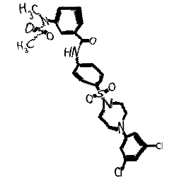 CN(c1cccc(C(=O)Nc2ccc(S(=O)(=O)N3CCN(c4cc(Cl)cc(Cl)c4)CC3)cc2)c1)S(C)(=O)=O